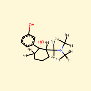 [2H]C([2H])([2H])N(C([2H])([2H])[2H])C([2H])([2H])[C@]1([2H])CCCC([2H])([2H])[C@@]1(O)c1cccc(O)c1